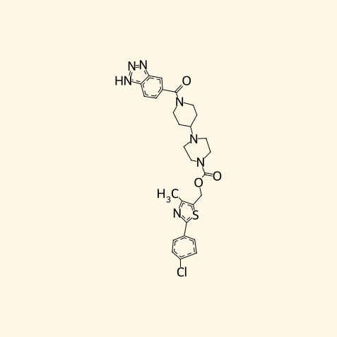 Cc1nc(-c2ccc(Cl)cc2)sc1COC(=O)N1CCN(C2CCN(C(=O)c3ccc4[nH]nnc4c3)CC2)CC1